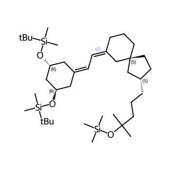 CC(C)(CCC[C@H]1CC[C@@]2(CCC/C(=C/C=C3C[C@@H](O[Si](C)(C)C(C)(C)C)C[C@H](O[Si](C)(C)C(C)(C)C)C3)C2)C1)O[Si](C)(C)C